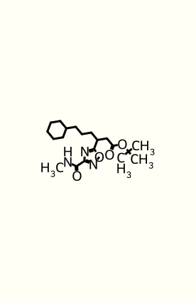 CNC(=O)c1noc(C(CCCC2CCCCC2)CC(=O)OC(C)(C)C)n1